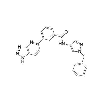 O=C(Nc1cnn(Cc2ccccc2)c1)c1cccc(-c2ccc3[nH]nnc3n2)c1